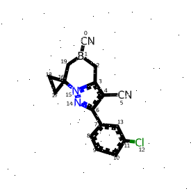 N#CB1Cc2c(C#N)c(-c3cccc(Cl)c3)nn2C2(CC2)C1